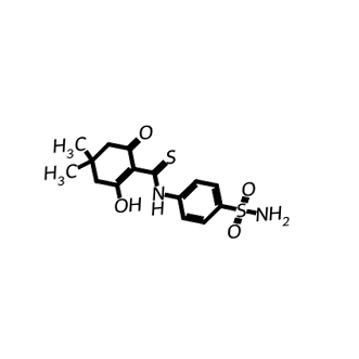 CC1(C)CC(=O)C(C(=S)Nc2ccc(S(N)(=O)=O)cc2)=C(O)C1